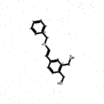 OCc1ccc(C=COCc2ccccc2)cc1CO